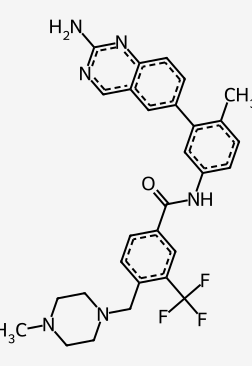 Cc1ccc(NC(=O)c2ccc(CN3CCN(C)CC3)c(C(F)(F)F)c2)cc1-c1ccc2nc(N)ncc2c1